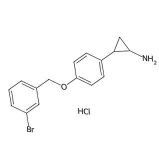 Cl.NC1CC1c1ccc(OCc2cccc(Br)c2)cc1